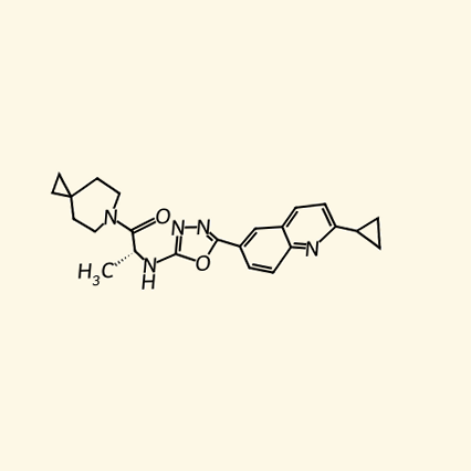 C[C@@H](Nc1nnc(-c2ccc3nc(C4CC4)ccc3c2)o1)C(=O)N1CCC2(CC1)CC2